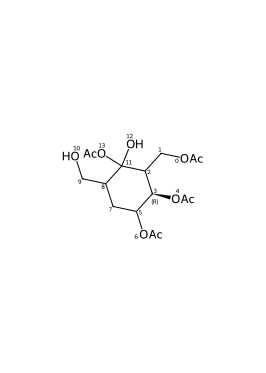 CC(=O)OCC1[C@@H](OC(C)=O)C(OC(C)=O)CC(CO)C1(O)OC(C)=O